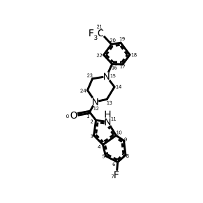 O=C(c1cc2cc(F)ccc2[nH]1)N1CCN(c2cccc(C(F)(F)F)c2)CC1